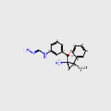 NN=CNc1cccc(C(=O)C2(N)CC2(C(=O)O)c2ccccc2)c1